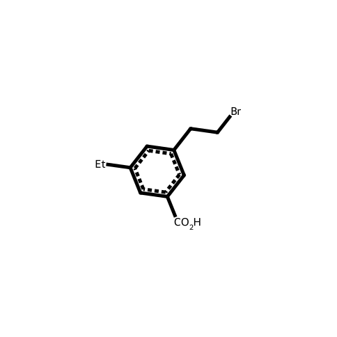 CCc1cc(CCBr)cc(C(=O)O)c1